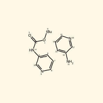 CC(C)(C)OC(=O)Nc1cccnc1.Nc1cccnc1